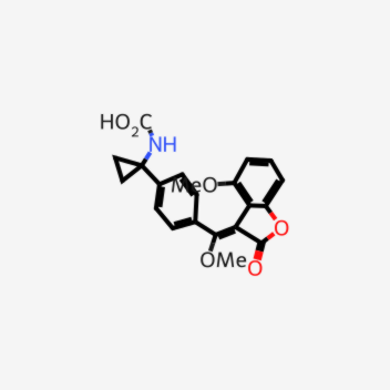 COC(=C1C(=O)Oc2cccc(OC)c21)c1ccc(C2(NC(=O)O)CC2)cc1